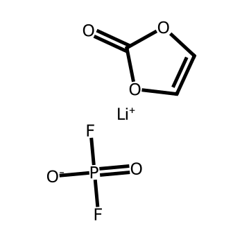 O=P([O-])(F)F.O=c1occo1.[Li+]